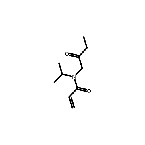 C=CC(=O)N(CC(=O)CC)C(C)C